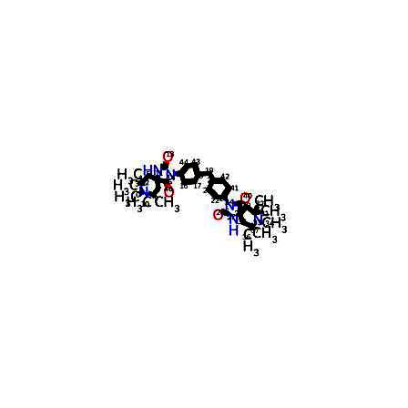 CN1C(C)(C)CC2(CC1(C)C)NC(=O)N(c1ccc(Cc3ccc(N4C(=O)NC5(CC(C)(C)N(C)C(C)(C)C5)C4=O)cc3)cc1)C2=O